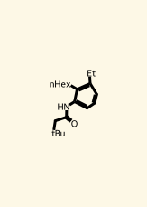 CCCCCCc1c(CC)cccc1NC(=O)CC(C)(C)C